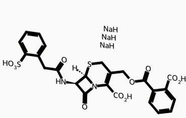 O=C(Cc1ccccc1S(=O)(=O)O)N[C@@H]1C(=O)N2C(C(=O)O)=C(COC(=O)c3ccccc3C(=O)O)CS[C@H]12.[NaH].[NaH].[NaH]